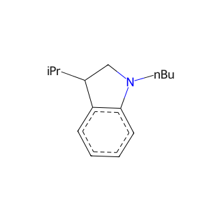 CCCCN1CC(C(C)C)c2ccccc21